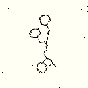 CC1C=C(CCN(C/C=C/c2ccccc2)Cc2ccccc2)c2ccccc21